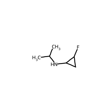 CC(C)NC1CC1F